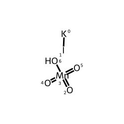 [K][I].[O]=[Mn](=[O])(=[O])[OH]